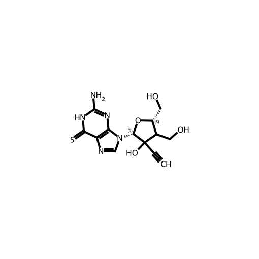 C#CC1(O)C(CO)[C@@H](CO)O[C@H]1n1cnc2c(=S)[nH]c(N)nc21